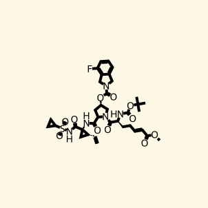 C=C[C@@H]1C[C@]1(NC(=O)C1C[C@@H](OC(=O)N2Cc3cccc(F)c3C2)CN1C(=O)[C@H](CC/C=C/C(=O)OC)NC(=O)OC(C)(C)C)C(=O)NS(=O)(=O)C1CC1